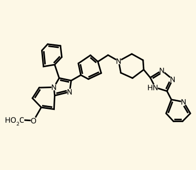 O=C(O)Oc1ccn2c(-c3ccccc3)c(-c3ccc(CN4CCC(c5nnc(-c6ccccn6)[nH]5)CC4)cc3)nc2c1